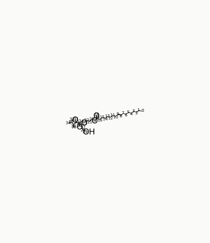 CCCCCCCCC=CCCCCCCCC(=O)OCCCOCC(OCCO)C1OCC(C)C1C